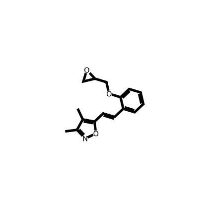 Cc1noc(/C=C/c2ccccc2OCC2CO2)c1C